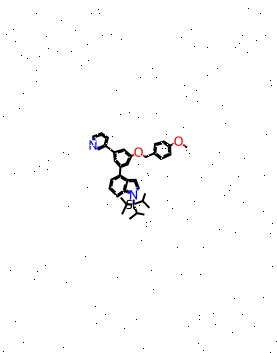 COc1ccc(COc2cc(-c3cccnc3)cc(-c3cccc4c3ccn4[Si](C(C)C)(C(C)C)C(C)C)c2)cc1